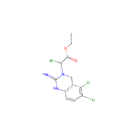 CCOC(=O)C(Br)N1Cc2c(ccc(Cl)c2Cl)NC1=N